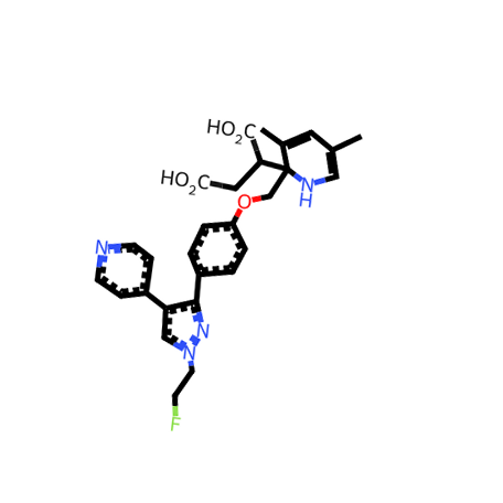 CC1=CNC(COc2ccc(-c3nn(CCF)cc3-c3ccncc3)cc2)(C(CC(=O)O)C(=O)O)C(C)=C1